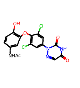 CC(=O)Nc1ccc(O)c(Oc2c(Cl)cc(-n3ncc(=O)[nH]c3=O)cc2Cl)c1